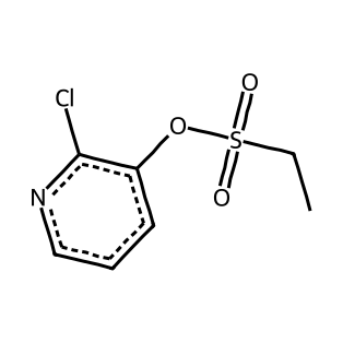 CCS(=O)(=O)Oc1cccnc1Cl